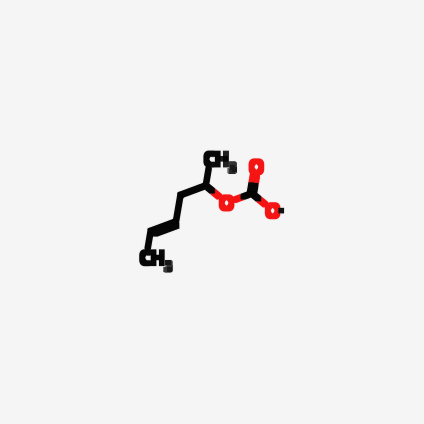 C/C=C/CC(C)OC([O])=O